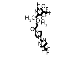 Cc1c([C@@H](C)OCCC(=O)N2CCN(c3ncc(C(F)(F)F)cn3)CC2)n[nH]c(=O)c1C(F)(F)F